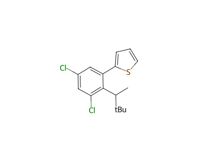 CC(c1c(Cl)cc(Cl)cc1-c1cccs1)C(C)(C)C